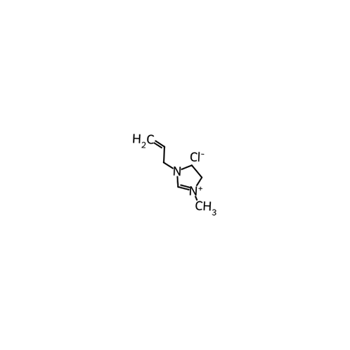 C=CCN1C=[N+](C)CC1.[Cl-]